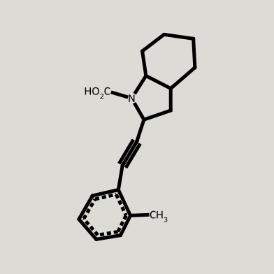 Cc1ccccc1C#CC1CC2CCCCC2N1C(=O)O